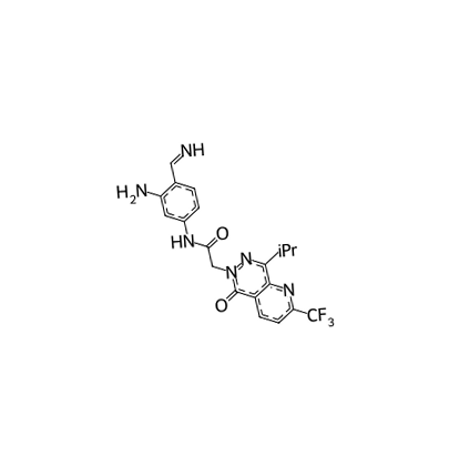 CC(C)c1nn(CC(=O)Nc2ccc(C=N)c(N)c2)c(=O)c2ccc(C(F)(F)F)nc12